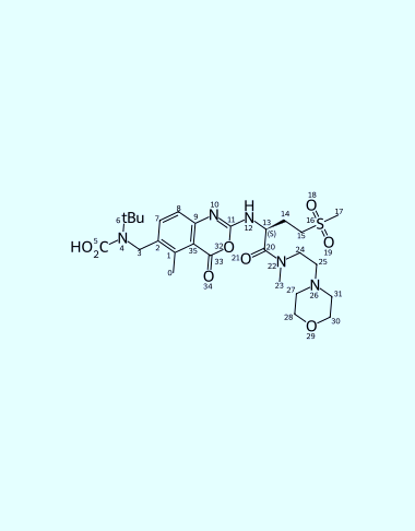 Cc1c(CN(C(=O)O)C(C)(C)C)ccc2nc(N[C@@H](CCS(C)(=O)=O)C(=O)N(C)CCN3CCOCC3)oc(=O)c12